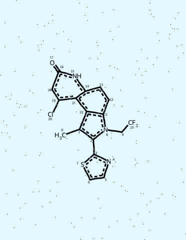 Cc1c(-c2nccs2)n(CC(F)(F)F)c2ccc3[nH]c(=O)cc(Cl)c3c12